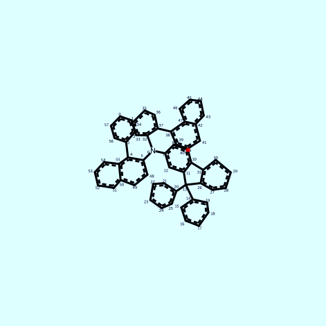 c1ccc(-c2c(N(c3ccc4c(c3)C(c3ccccc3)(c3ccccc3)c3ccccc3-4)c3ccccc3-c3cccc4ccccc34)ccc3ccccc23)cc1